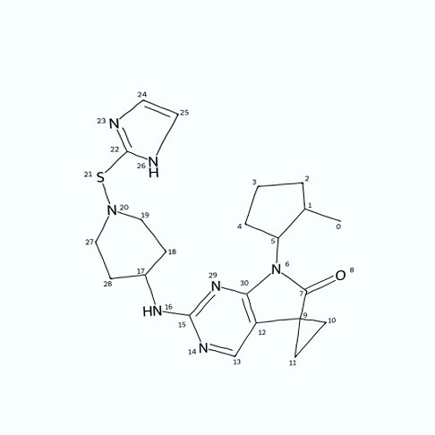 CC1CCCC1N1C(=O)C2(CC2)c2cnc(NC3CCN(Sc4ncc[nH]4)CC3)nc21